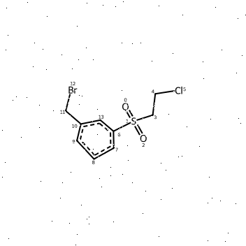 O=S(=O)(CCCl)c1cccc(CBr)c1